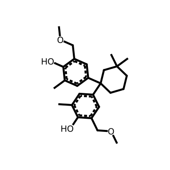 COCc1cc(C2(c3cc(C)c(O)c(COC)c3)CCCC(C)(C)C2)cc(C)c1O